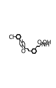 O=C(C=Cc1cccc(C=CC(=O)N2CCN(c3cccc(Cl)c3)CC2)c1)NO